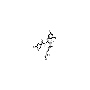 CC(NCCNC=O)[C@@H](O)[C@H](Cc1cc(F)cc(F)c1)NC(=O)C1CC(=O)N(C)C1